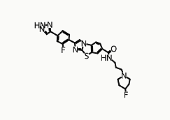 O=C(NCCCN1CCC(F)CC1)c1ccc2c(c1)sc1nc(-c3ccc(-c4cn[nH]n4)cc3F)cn12